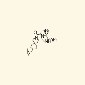 CC(C)C[C@@H]1NCCN([C@@H](CC(C)C)C(=O)N2CCC3(CCC(CN(C)I)CC3)CC2)C1=O